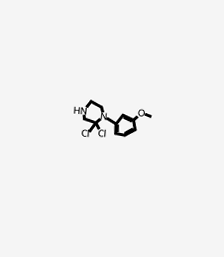 COc1cccc(N2CCNCC2(Cl)Cl)c1